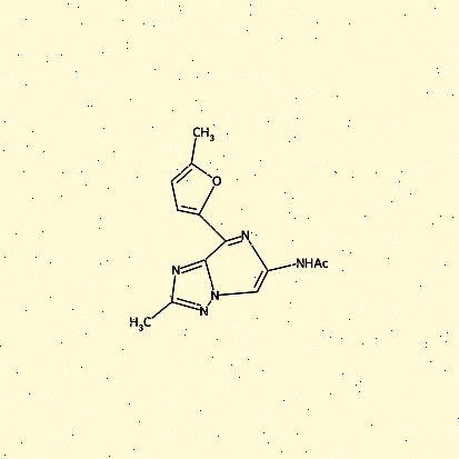 CC(=O)Nc1cn2nc(C)nc2c(-c2ccc(C)o2)n1